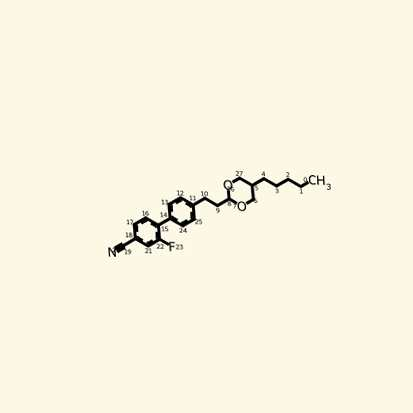 CCCCCC1COC(CCc2ccc(-c3ccc(C#N)cc3F)cc2)OC1